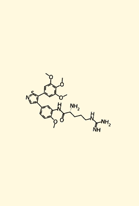 COc1ccc(-c2cnsc2-c2cc(OC)c(OC)c(OC)c2)cc1NC(=O)[C@H](N)CCCNC(=N)N